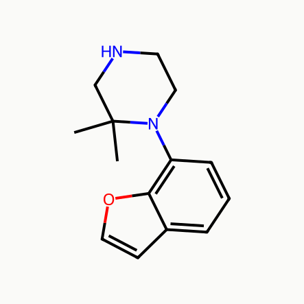 CC1(C)CNCCN1c1cccc2ccoc12